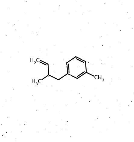 C=C[C](C)Cc1cccc(C)c1